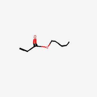 CC[CH]OC(=O)CC